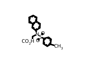 Cc1ccc(S(=O)(=O)N(CC(=O)O)c2ccc3ccccc3c2)cc1